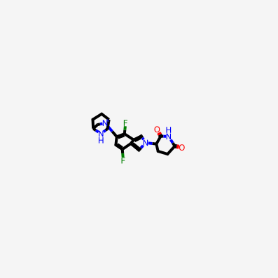 O=C1CCC(n2cc3c(F)cc(N4CC5CCC4CN5)c(F)c3c2)C(=O)N1